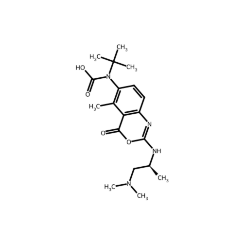 Cc1c(N(C(=O)O)C(C)(C)C)ccc2nc(N[C@@H](C)CN(C)C)oc(=O)c12